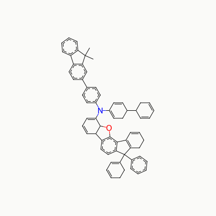 CC1(C)c2ccccc2-c2ccc(-c3ccc(N(C4=CCC(C5C=CC=CC5)C=C4)C4=CC=CC5c6ccc7c(c6OC45)C4=C(CCC=C4)C7(C4=CC=CCC4)c4ccccc4)cc3)cc21